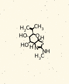 C=C(C)[C@H]1O[C@@H]2SC(NC)=N[C@@H]2[C@@H](O)[C@@H]1O